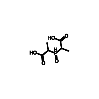 CC(C(=O)O)[PH](=O)C(C)C(=O)O